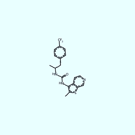 Cc1sc2cnccc2c1NC(=O)NC(C)Cc1ccc(C(F)(F)F)cc1